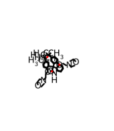 CC(C)(C)c1ccc(OCCN2CCOCC2)c(C2(c3cc(C(C)(C)C)ccc3OCCN3CCOCC3)C(=O)Nc3ccccc32)c1